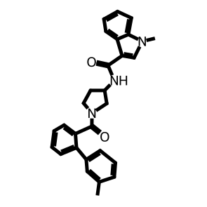 Cc1cccc(-c2ccccc2C(=O)N2CCC(NC(=O)c3cn(C)c4ccccc34)C2)c1